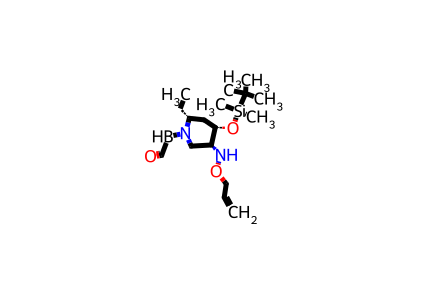 C=CCON[C@H]1CN(BC=O)[C@H](CC)C[C@@H]1O[Si](C)(C)C(C)(C)C